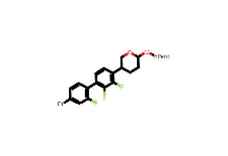 CCCCCOC1CCC(c2ccc(-c3ccc(CC)cc3F)c(F)c2F)CO1